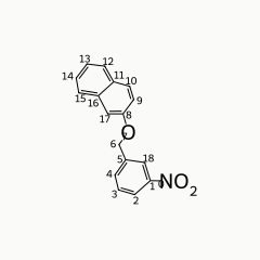 O=[N+]([O-])c1cccc(COc2ccc3ccccc3c2)c1